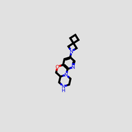 c1nc2c(cc1N1CC3(CCC3)C1)OCC1CNCCN21